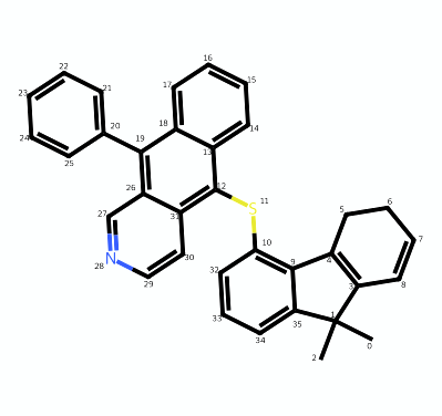 CC1(C)C2=C(CCC=C2)c2c(Sc3c4ccccc4c(-c4ccccc4)c4cnccc34)cccc21